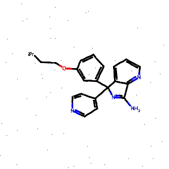 CC(C)CCOc1cccc(C2(c3ccncc3)N=C(N)c3ncccc32)c1